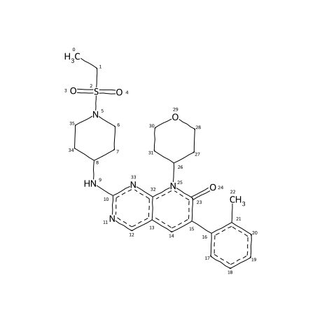 CCS(=O)(=O)N1CCC(Nc2ncc3cc(-c4ccccc4C)c(=O)n(C4CCOCC4)c3n2)CC1